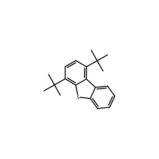 CC(C)(C)c1ccc(C(C)(C)C)c2c1sc1ccccc12